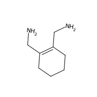 NCC1=C(CN)CCCC1